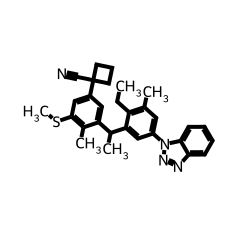 CCc1c(C)cc(-n2nnc3ccccc32)cc1C(C)c1cc(C2(C#N)CCC2)cc(SC)c1C